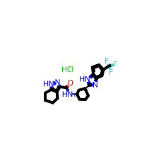 Cl.O=C(N[C@@H]1CCC[C@H](c2nc3cc(C(F)(F)F)ccc3[nH]2)C1)c1n[nH]c2c1CCCC2